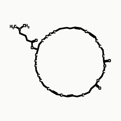 CN(C)CCCC(=O)OC1CCCCCCCC/C=C\C/C=C\CCCCC(=O)OCCOC(=O)CCCC/C=C\C/C=C\CCCCCCCC1